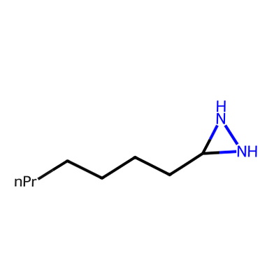 CCCCCCCC1NN1